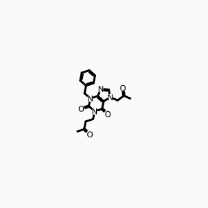 CC(=O)CCn1c(=O)c2c(ncn2CC(C)=O)n(Cc2ccccc2)c1=O